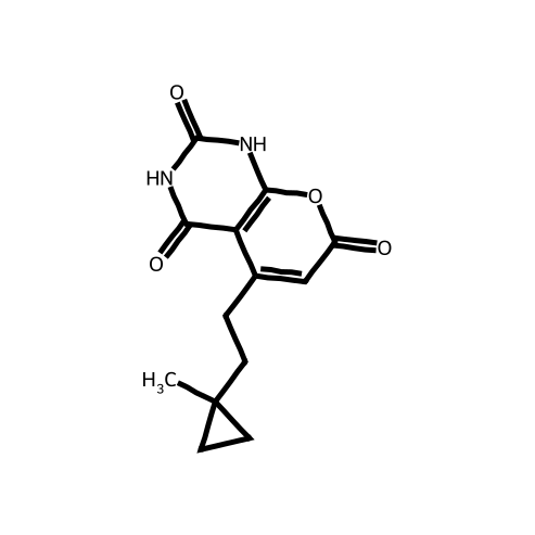 CC1(CCc2cc(=O)oc3[nH]c(=O)[nH]c(=O)c23)CC1